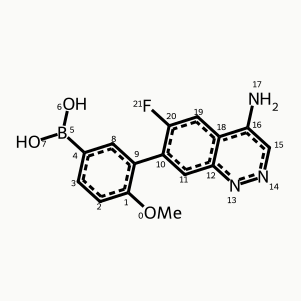 COc1ccc(B(O)O)cc1-c1cc2nncc(N)c2cc1F